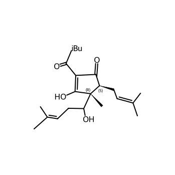 CCC(C)C(=O)C1=C(O)[C@@](C)(C(O)CC=C(C)C)[C@H](CC=C(C)C)C1=O